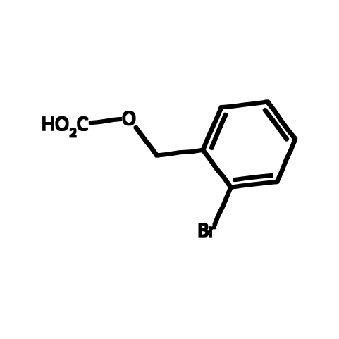 O=C(O)OCc1ccccc1Br